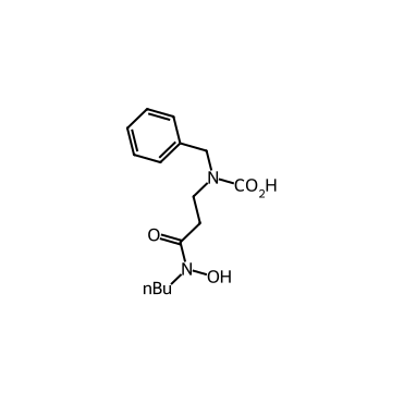 CCCCN(O)C(=O)CCN(Cc1ccccc1)C(=O)O